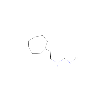 CCNCN(C)CCC1CCCCCCC1